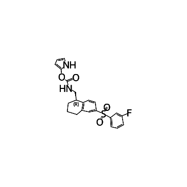 O=C(NC[C@@H]1CCCc2cc(S(=O)(=O)c3cccc(F)c3)ccc21)Oc1ccc[nH]1